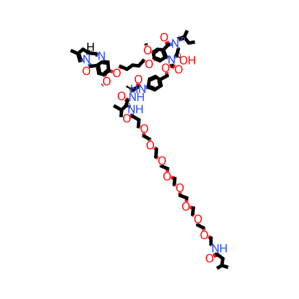 CC/C(C)=C\N1C[C@H](O)N(C(=O)OCc2ccc(NC(=O)[C@H](C)NC(=O)[C@@H](NC(=O)CCOCCOCCOCCOCCOCCOCCOCCOCCNC(=O)CC(C)C)C(C)C)cc2)c2cc(OCCCCCOc3cc4c(cc3OC)C(=O)N3C=C(C)C[C@H]3C=N4)c(OC)cc2C1=O